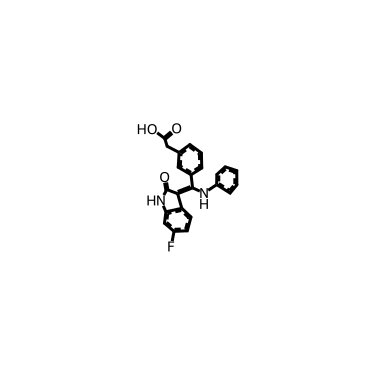 O=C(O)Cc1cccc(C(Nc2ccccc2)=C2C(=O)Nc3cc(F)ccc32)c1